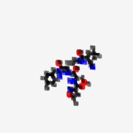 COC[C@H](NC(=O)c1cc(C)on1)C(=O)N[C@@H](CCCNC(=O)C(C#N)=CC(C)(C)C)C(=O)NCc1ccc(C)cc1